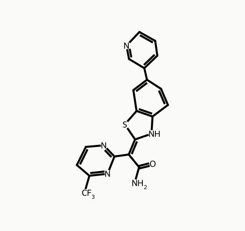 NC(=O)/C(=C1\Nc2ccc(-c3cccnc3)cc2S1)c1nccc(C(F)(F)F)n1